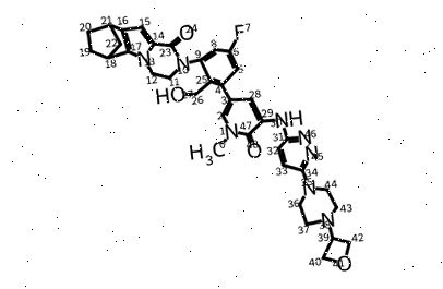 Cn1cc(-c2cc(F)cc(N3CCn4c(cc5c4C4CCC5C4)C3=O)c2CO)cc(Nc2ccc(N3CCN(C4COC4)CC3)nn2)c1=O